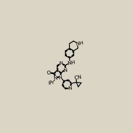 CC(C)n1c(=O)c2cnc(Nc3ccc4c(c3)CNCC4)nc2n1-c1ccnc(C2(C#N)CC2)c1